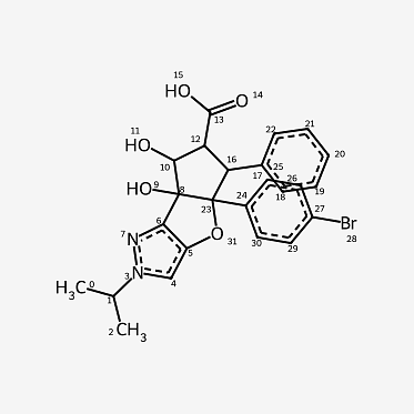 CC(C)n1cc2c(n1)C1(O)C(O)C(C(=O)O)C(c3ccccc3)C1(c1ccc(Br)cc1)O2